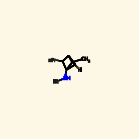 CCCC1C2C[C@@]1(NCC)[C@@H]2C